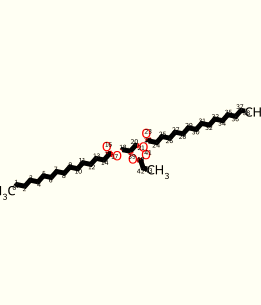 CCCCCCCCCCCCCCCC(=O)OCC(COC(=O)CCCCCCCCCCCCCCC)OC(=O)CC